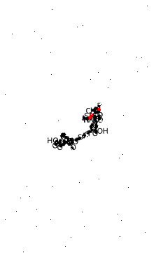 COC(=O)C1=C(CN2CCN(CCOCCOCCOc3cc4c(cc3OC)-c3cc(=O)c(C(=O)O)cn3C(C(C)(C)C)C4)C(C(=O)O)C2)NC(c2nccs2)=N[C@H]1c1ccc(F)cc1Cl